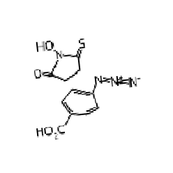 O=C1CCC(=S)N1O.[N-]=[N+]=Nc1ccc(C(=O)O)cc1